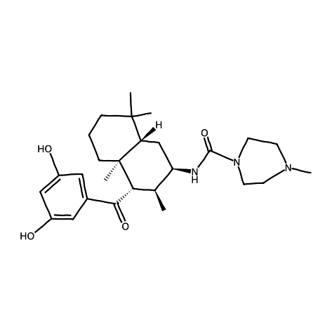 C[C@@H]1[C@H](NC(=O)N2CCN(C)CC2)C[C@H]2C(C)(C)CCC[C@]2(C)[C@H]1C(=O)c1cc(O)cc(O)c1